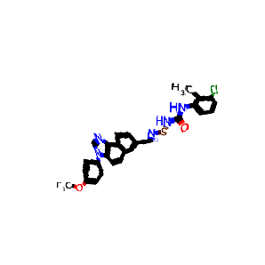 Cc1c(Cl)cccc1NC(=O)NS/N=C/c1ccc2c(ccc3c2ncn3-c2ccc(OC(F)(F)F)cc2)c1